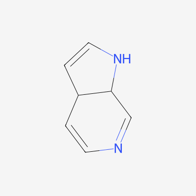 C1=CC2C=CNC2C=N1